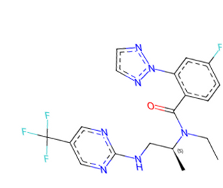 CCN(C(=O)c1ccc(F)cc1-n1nccn1)[C@@H](C)CNc1ncc(C(F)(F)F)cn1